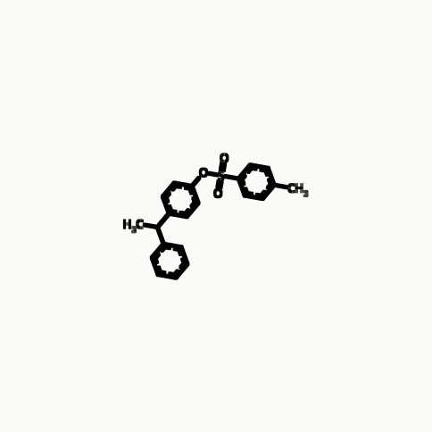 Cc1ccc(S(=O)(=O)Oc2ccc(C(C)c3ccccc3)cc2)cc1